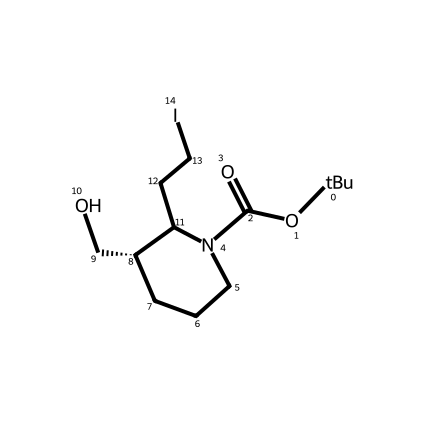 CC(C)(C)OC(=O)N1CCC[C@H](CO)C1CCI